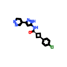 O=C(Nc1cc(-c2ccnnc2)n[nH]1)[C@H]1C[C@H](c2ccc(Cl)cc2)C1